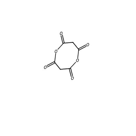 O=C1CC(=O)OC(=O)CC(=O)O1